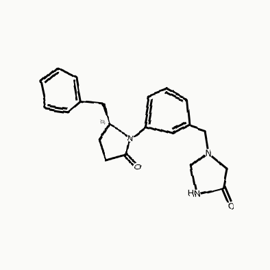 O=C1CN(Cc2cccc(N3C(=O)CC[C@H]3Cc3ccccc3)c2)CN1